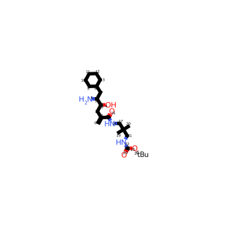 C=C(CC(O)C(N)CC1CCCCC1)C(=O)NCC(C)(C)CNC(=O)OC(C)(C)C